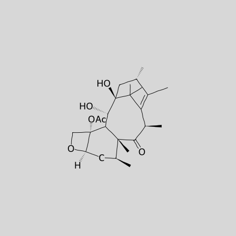 CC(=O)O[C@@]12CO[C@@H]1C[C@H](C)[C@@]1(C)C(=O)[C@H](C)C3=C(C)[C@@H](C)C[C@@](O)([C@@H](O)C12)C3(C)C